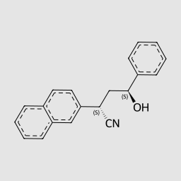 N#C[C@@H](C[C@H](O)c1ccccc1)c1ccc2ccccc2c1